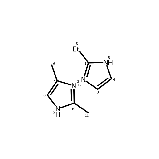 CCc1ncc[nH]1.Cc1c[nH]c(C)n1